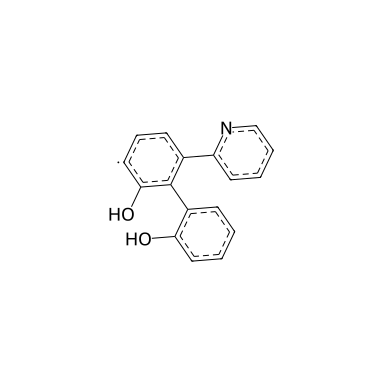 Oc1[c]ccc(-c2ccccn2)c1-c1ccccc1O